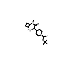 CN(C(=O)C(N)C1CCN(C(=O)OC(C)(C)C)CC1)C1CCC1